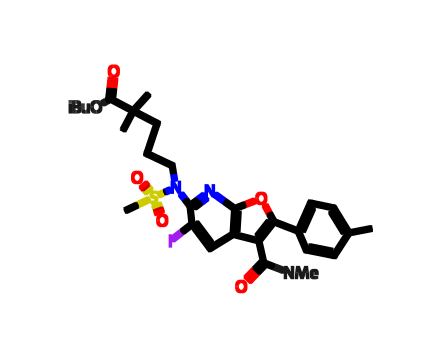 CNC(=O)c1c(-c2ccc(C)cc2)oc2nc(N(CCCC(C)(C)C(=O)OCC(C)C)S(C)(=O)=O)c(I)cc12